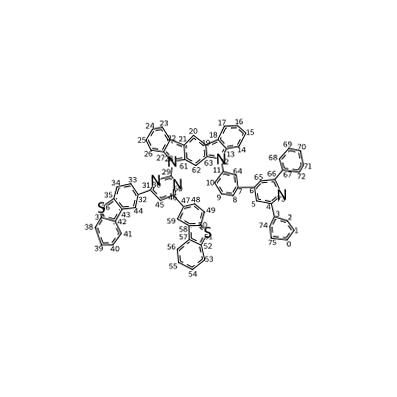 c1ccc(-c2cc(-c3cccc(-n4c5ccccc5c5cc6c7ccccc7n(-c7nc(-c8ccc9sc%10ccccc%10c9c8)cc(-c8ccc9sc%10ccccc%10c9c8)n7)c6cc54)c3)cc(-c3ccccc3)n2)cc1